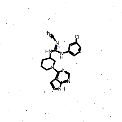 N#C/N=C(/Nc1cccc(Cl)c1)NC1CCCN(c2ncnc3[nH]ccc23)C1